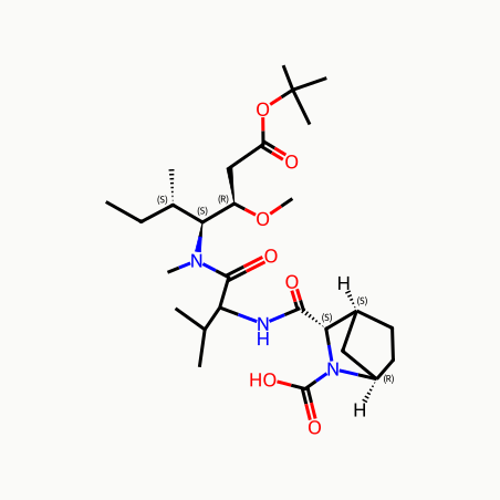 CC[C@H](C)[C@@H]([C@@H](CC(=O)OC(C)(C)C)OC)N(C)C(=O)C(NC(=O)[C@@H]1[C@H]2CC[C@H](C2)N1C(=O)O)C(C)C